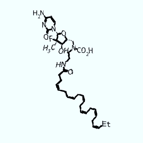 CC/C=C\C/C=C\C/C=C\C/C=C\C/C=C\C/C=C\CCC(=O)NCCN(C[C@H]1O[C@@H](n2ccc(N)nc2=O)[C@](C)(F)[C@@H]1O)C(=O)O